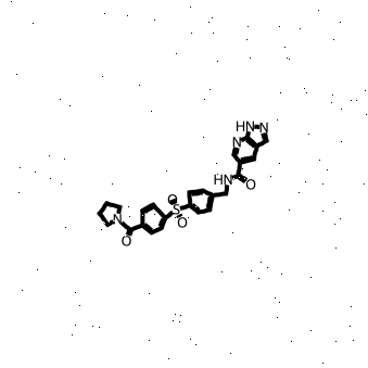 O=C(NCc1ccc(S(=O)(=O)c2ccc(C(=O)N3CCCC3)cc2)cc1)c1cnc2[nH]ncc2c1